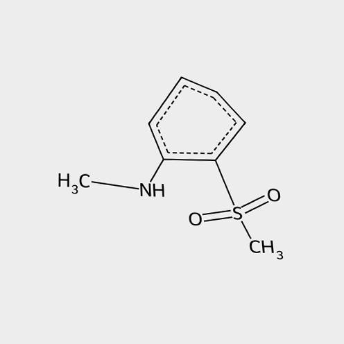 CNc1ccccc1S(C)(=O)=O